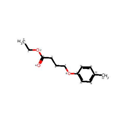 CCOC(=O)CCCOc1ccc(C)cc1